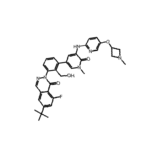 CN1CC(Oc2ccc(Nc3cc(-c4cccc(-n5ncc6cc(C(C)(C)C)cc(F)c6c5=O)c4CO)cn(C)c3=O)nc2)C1